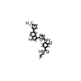 Cn1cc(-c2cnc3[nH]cc(-c4nnc(Nc5ccc(C(=O)NCCF)cc5Cl)o4)c3c2)cn1